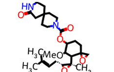 COC1C(OC(=O)N2CCC3(CCNC(=O)C3)CC2)CCC2(CO2)C1[C@@]1(C)O[C@@H]1CC=C(C)C